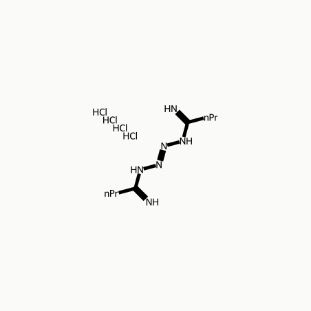 CCCC(=N)NN=NNC(=N)CCC.Cl.Cl.Cl.Cl